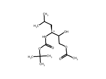 CC(=O)OCC(O)[C@H](CC(C)C)NC(=O)OC(C)(C)C